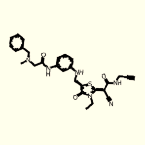 C#CCNC(=O)C(C#N)=c1sc(=CNc2cccc(NC(=O)CN(C)Cc3ccccc3)c2)c(=O)n1CC